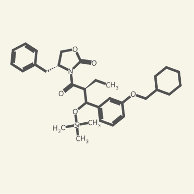 CC[C@H](C(=O)N1C(=O)OC[C@H]1Cc1ccccc1)C(O[Si](C)(C)C)c1cccc(OCC2CCCCC2)c1